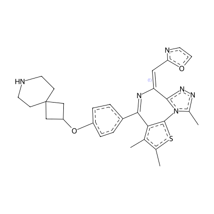 Cc1sc2c(c1C)C(c1ccc(OC3CC4(CCNCC4)C3)cc1)=N/C(=C/c1ncco1)c1nnc(C)n1-2